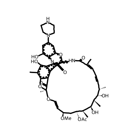 CO[C@H]1/C=C/O[C@@]2(C)Oc3c(C)c(O)c4c(=O)c(c5oc6cc(N7CCNCC7)cc(O)c6nc-5c4c3C2=O)NC(=O)/C(C)=C\C=C\[C@H](C)[C@H](O)[C@@H](C)[C@@H](O)[C@@H](C)[C@H](OC(C)=O)C1